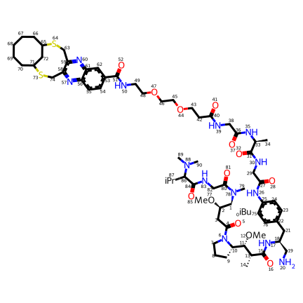 CC[C@H](C)[C@@H]([C@@H](CC(=O)N1CCC[C@H]1[C@H](OC)[C@@H](C)C(=O)N[C@H](CN)Cc1ccc(NC(=O)CNC(=O)[C@H](C)NC(=O)CNC(=O)CCOCCOCCNC(=O)c2ccc3nc4c(nc3c2)CSC2CCCCCC(C2)SC4)cc1)OC)N(C)C(=O)CNC(=O)C(C(C)C)N(C)C